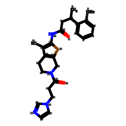 COc1ccccc1C(C)CC(=O)Nc1sc2c(c1C#N)CCN(C(=O)CCn1ccnc1)C2